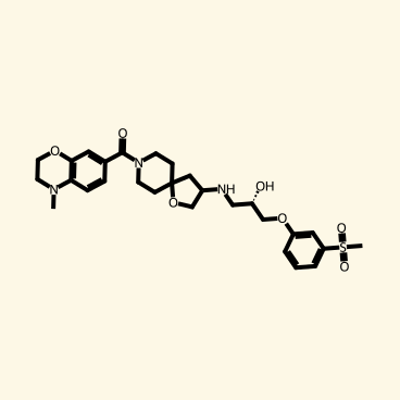 CN1CCOc2cc(C(=O)N3CCC4(CC3)CC(NC[C@H](O)COc3cccc(S(C)(=O)=O)c3)CO4)ccc21